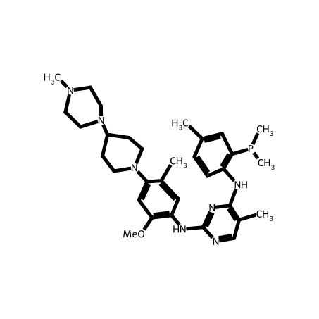 COc1cc(N2CCC(N3CCN(C)CC3)CC2)c(C)cc1Nc1ncc(C)c(Nc2ccc(C)cc2P(C)C)n1